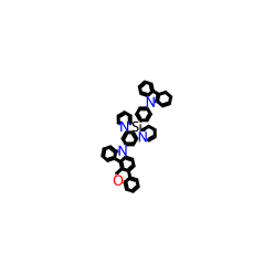 C1=CN=C([Si](c2ccc(-n3c4c(c5ccccc53)CCC=C4)cc2)(c2ccc(-n3c4ccccc4c4c5c(ccc43)-c3ccccc3OC5)cc2)c2ccccn2)CC1